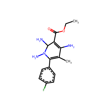 CCOC(=O)C1=C(N)C(C)=C(c2ccc(F)cc2)N(N)C1N